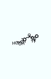 Cc1cc(CCC(=O)c2cc(-c3ccccc3)c(C(F)(F)F)s2)cc(C)c1OC[C@@H](O)CO